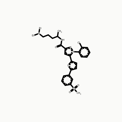 CCN(CC)CCCC(C)NC(=O)c1cc(-c2ccc(-c3cccc(S(C)(=O)=O)c3)s2)n(-c2ccccc2Cl)n1